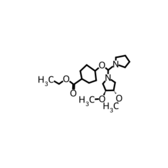 CCOC(=O)C1CCC(OC(N2CCCC2)N2C[C@H](OC)[C@@H](OC)C2)CC1